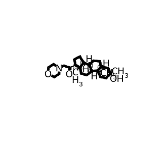 C[C@@]1(O)CC[C@@]2(C)[C@H](CC[C@@H]3[C@@H]2CC[C@]2(C)[C@@H](C(=O)CN4CCOCC4)CC[C@@H]32)C1